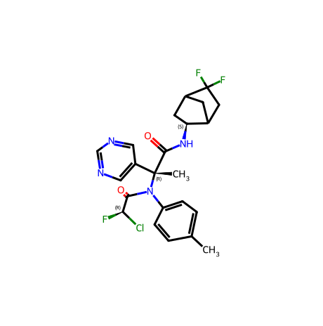 Cc1ccc(N(C(=O)[C@H](F)Cl)[C@@](C)(C(=O)N[C@H]2CC3CC2CC3(F)F)c2cncnc2)cc1